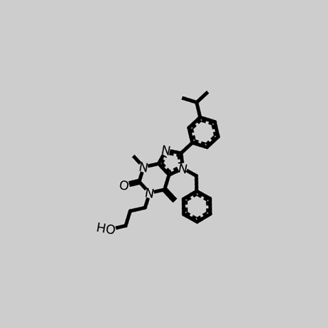 C=C1c2c(nc(-c3cccc(C(C)C)c3)n2Cc2ccccc2)N(C)C(=O)N1CCCO